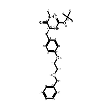 CNC(=O)[C@H](Cc1ccc(OCCOCc2ccccc2)cc1)NC(=O)OC(C)(C)C